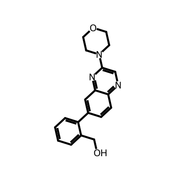 OCc1ccccc1-c1ccc2ncc(N3CCOCC3)nc2c1